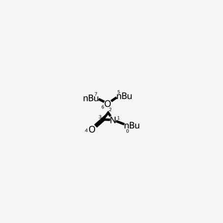 CCCCN1CC1=O.CCCCOCCCC